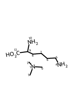 CN(C)C.NCCCCC(N)C(=O)O